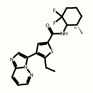 CCc1sc(C(=O)NC2[C@@H](C)CCCC2(F)F)cc1-c1cnc2cccnn12